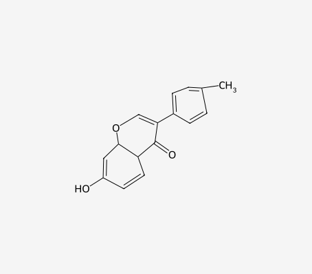 Cc1ccc(C2=COC3C=C(O)C=CC3C2=O)cc1